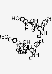 CCN1CCN(c2cc(C(=O)NC[C@@H](O)[C@@H]3Cc4ccc(O)cc4CN3)cc(NC3CCC3)n2)CC1.CCN1CCN(c2cc(C(=O)NC[C@@H](O)[C@@H]3Cc4ccc(OCOC)cc4CN3C(=O)OC(C)(C)C)cc(NC3CCC3)n2)CC1